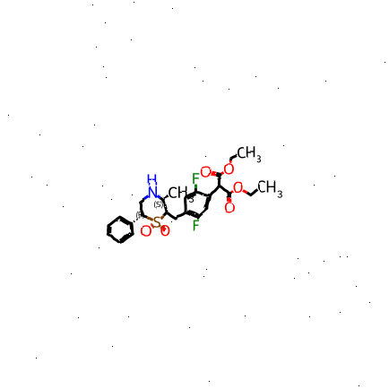 CCOC(=O)C(C(=O)OCC)c1cc(F)c(CC2[C@H](C)NC[C@@H](c3ccccc3)S2(=O)=O)cc1F